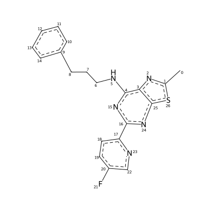 Cc1nc2c(NCCCc3ccccc3)nc(-c3ccc(F)cn3)nc2s1